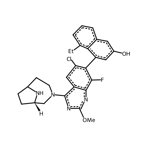 CCc1cccc2cc(O)cc(-c3c(Cl)cc4c(N5CCC6CC[C@@H](C5)N6)nc(OC)nc4c3F)c12